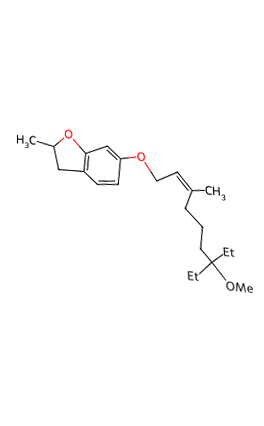 CCC(CC)(CCCC(C)=CCOc1ccc2c(c1)OC(C)C2)OC